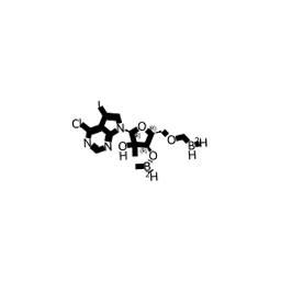 [2H]BCOC[C@H]1O[C@@H](n2cc(I)c3c(Cl)ncnc32)C(C)(O)[C@@H]1OB([2H])C